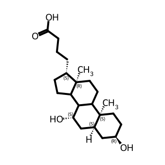 C[C@]12CCC3C(C1CC[C@@H]2CCCC(=O)O)[C@@H](O)C[C@@H]1C[C@H](O)CC[C@]31C